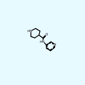 O=C(Nc1cccnc1)C1CCNCC1